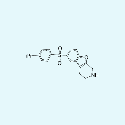 CC(C)c1ccc(S(=O)(=O)c2ccc3oc4c(c3c2)CCNC4)cc1